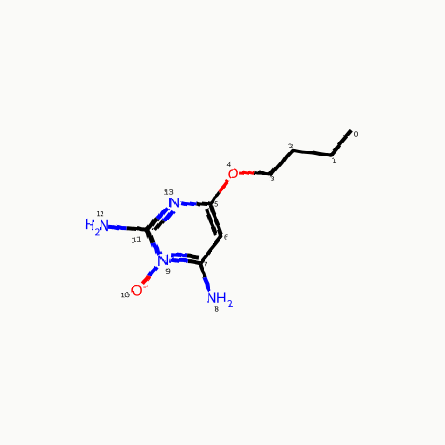 CCCCOc1cc(N)[n+]([O-])c(N)n1